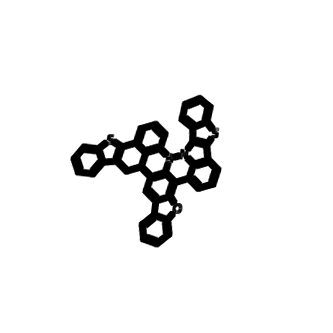 c1cc2c3c(c1)-c1sc4ccccc4c1CC3c1cc3c(oc4ccccc43)c3c1B2n1c2c-3cccc2c2sc3ccccc3c21